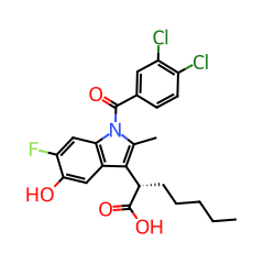 CCCCC[C@H](C(=O)O)c1c(C)n(C(=O)c2ccc(Cl)c(Cl)c2)c2cc(F)c(O)cc12